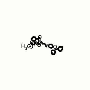 COC(=O)Cn1c(=O)n(CCCCN2CCC(OC(c3ccccc3)c3ccccc3)CC2)c(=O)c2ccccc21